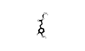 CCOC(=O)CCc1ccc(N)c(F)c1